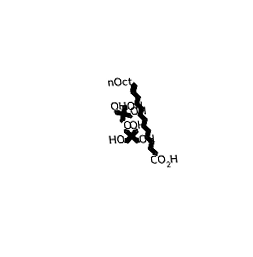 CCCCCCCCC=CCCCCCCCCCCCC(=O)O.OCC(CO)(CO)COCC(CO)(CO)CO